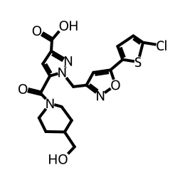 O=C(O)c1cc(C(=O)N2CCC(CO)CC2)n(Cc2cc(-c3ccc(Cl)s3)on2)n1